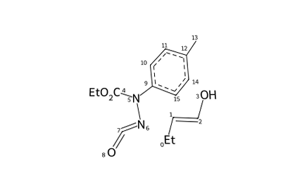 CCC=CO.CCOC(=O)N(N=C=O)c1ccc(C)cc1